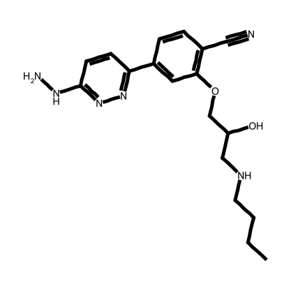 CCCCNCC(O)COc1cc(-c2ccc(NN)nn2)ccc1C#N